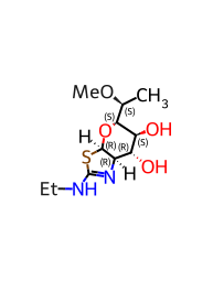 CCNC1=N[C@@H]2[C@@H](O)[C@H](O)[C@@H]([C@H](C)OC)O[C@@H]2S1